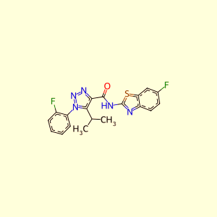 CC(C)c1c(C(=O)Nc2nc3ccc(F)cc3s2)nnn1-c1ccccc1F